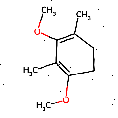 COC1=C(C)C(OC)=C(C)CC1